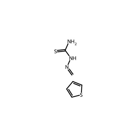 C=NNC(N)=S.c1ccsc1